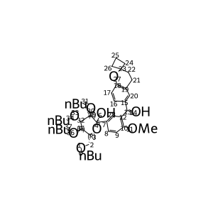 CCCCOC[C@H]1OC(O)(c2ccc(OC)c(C(O)c3ccc4c(c3)CCC3(CCC3)O4)c2)[C@H](OCCCC)C(OCCCC)[C@@H]1OCCCC